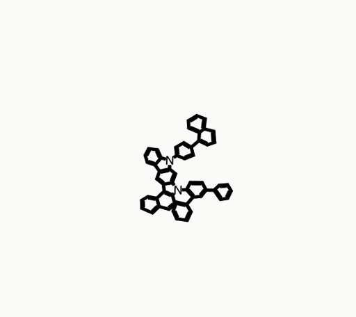 c1ccc(-c2ccc(-n3c4cc5c(cc4c4c6ccccc6ccc43)c3ccccc3n5-c3ccc(-c4cccc5ccccc45)cc3)c(-c3ccccc3)c2)cc1